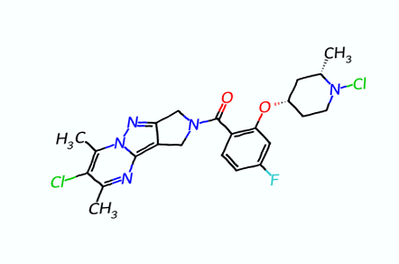 Cc1nc2c3c(nn2c(C)c1Cl)CN(C(=O)c1ccc(F)cc1O[C@H]1CCN(Cl)[C@@H](C)C1)C3